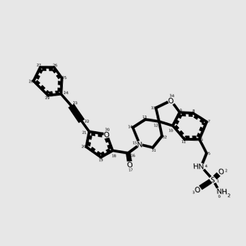 NS(=O)(=O)NCc1ccc2c(c1)C1(CCN(C(=O)c3ccc(C#Cc4ccccc4)o3)CC1)CO2